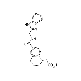 O=C(O)CC1CCCc2cc(C(=O)NCc3nc4ccccc4[nH]3)ccc21